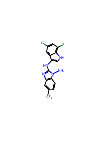 Nn1c(Nc2c[nH]c3c(F)cc(F)cc23)nc2cc(C(F)(F)F)ccc21